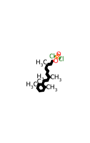 CC(C=CC1=C(C)CCCC1(C)C)=CC=CC(C)=CCOP(=O)(Cl)Cl